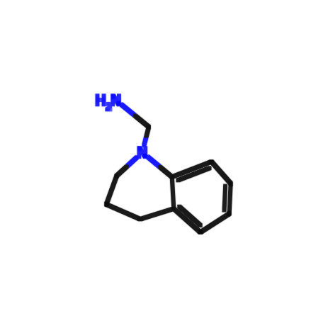 NCN1CCCc2ccccc21